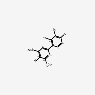 CCc1c(Cl)ccc(-c2cc(NC(C)=O)c(Cl)c(C(=O)O)n2)c1F